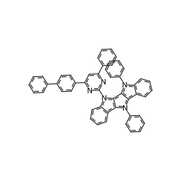 c1ccc(-c2ccc(-c3cc(-c4ccccc4)nc(-n4c5ccccc5c5c4c4c(c6ccccc6n4-c4ccccc4)n5-c4ccccc4)n3)cc2)cc1